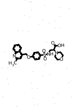 Cc1cc(COc2ccc(S(=O)(=O)NCC(C(=O)O)N3CCOCC3)cc2)c2ccccc2n1